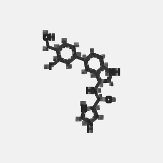 O=C(Nc1c[nH]c2ccc(-c3ccc(CO)c(F)c3)cc12)c1c[nH]cn1